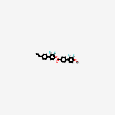 C/C=C/C1CCC(c2ccc(OC(=O)C3CCC(c4ccc(OCC)c(F)c4F)CC3)c(F)c2F)CC1